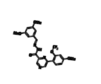 COc1cc(/C=N/NC(=O)c2cncc(-c3ccc(OC)cc3OC(F)(F)F)n2)cc(OC)c1